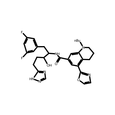 CCCCN1CCCc2c(-c3ncco3)cc(C(=O)NC(Cc3cc(F)cc(F)c3)C(O)CCc3ncn[nH]3)cc21